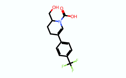 O=C(O)N1C=C(c2ccc(C(F)(F)F)cc2)CCC1CO